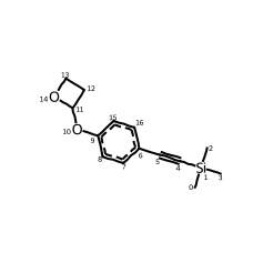 C[Si](C)(C)C#Cc1ccc(OC2CCO2)cc1